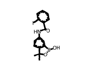 CC1(C)OB(O)c2cc(NC(=O)c3ccccc3I)ccc21